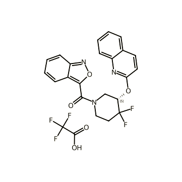 O=C(O)C(F)(F)F.O=C(c1onc2ccccc12)N1CCC(F)(F)[C@@H](Oc2ccc3ccccc3n2)C1